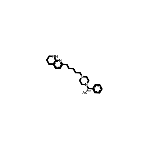 CC(=O)[C@H](c1ccccc1)N1CCN(CCCCCc2ccc3c(n2)NCCC3)CC1